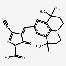 [C-]#[N+]C1=NN(C(=O)O)C(=O)/C1=C\c1cc2c3c(c1)C(C)(C)CCN3CCC2(C)C